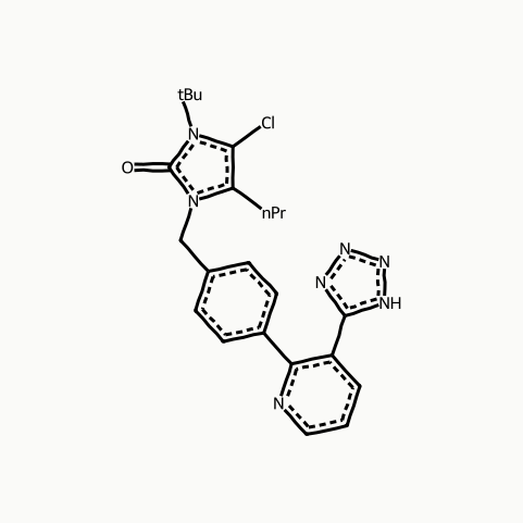 CCCc1c(Cl)n(C(C)(C)C)c(=O)n1Cc1ccc(-c2ncccc2-c2nnn[nH]2)cc1